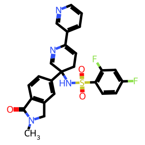 CN1Cc2cc(C3(NS(=O)(=O)c4ccc(F)cc4F)C=NC(c4cccnc4)=CC3)ccc2C1=O